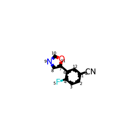 N#Cc1ccc(F)c(-c2cnco2)c1